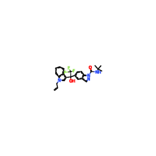 C=CCn1cc(C(O)(c2ccc3c(cnn3C(=O)NC(C)(C)C)c2)C(F)(F)F)c2ccccc21